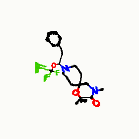 C[C@H]1OC2(CCN(C(Cc3ccccc3)OC(F)(F)F)CC2)CN(C)C1=O